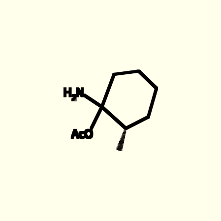 CC(=O)OC1(N)CCCC[C@@H]1C